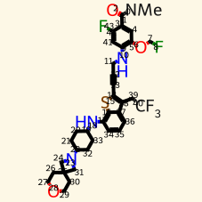 CNC(=O)c1cc(OCF)c(NCC#Cc2sc3c(NC4CCC(N5CC6(CCOCC6)C5)CC4)cccc3c2CC(F)(F)F)cc1F